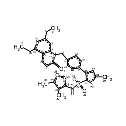 CCc1cc2c(ccc(=O)n2Cc2ccc(-c3cc(C)sc3S(=O)(=O)Nc3noc(C)c3C)cc2)c(CC)n1